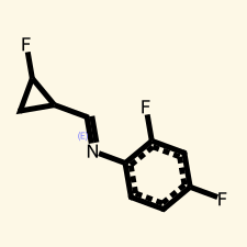 Fc1ccc(/N=C/C2CC2F)c(F)c1